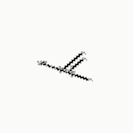 C=P(O)(O)CCOCCOCCOCCNC(=O)[C@H](CSC[C@@H](COC(=O)NCCCCCCCCCC)OC(=O)NCCCCCCCCCC)NC(=O)CCCCCCCCCCCCCCC